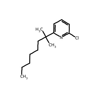 CCCCCCC(C)(C)c1cccc(Cl)n1